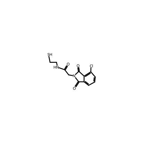 O=C(CN1C(=O)c2cccc(Cl)c2C1=O)NCCS